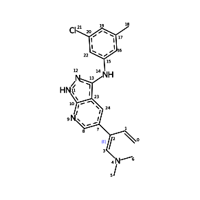 C=C/C(=C\N(C)C)c1cnc2[nH]nc(Nc3cc(C)cc(Cl)c3)c2c1